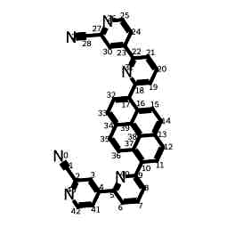 N#Cc1cc(-c2cccc(-c3ccc4ccc5c(-c6cccc(-c7ccnc(C#N)c7)n6)ccc6ccc3c4c65)n2)ccn1